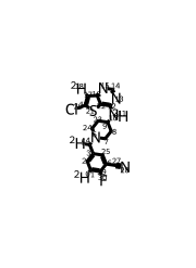 [2H]c1cc(C([2H])N2CCC(N([2H])c3ncnc4c([2H])c(Cl)sc34)CC2)cc(C#N)c1F